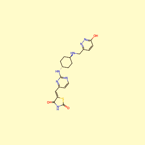 O=C1NC(=O)/C(=C/c2ccnc(N[C@H]3CC[C@H](NCc4ccc(O)nn4)CC3)n2)S1